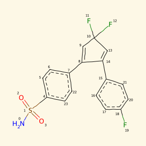 NS(=O)(=O)c1ccc(C2=CC(F)(F)C=C2c2ccc(F)cc2)cc1